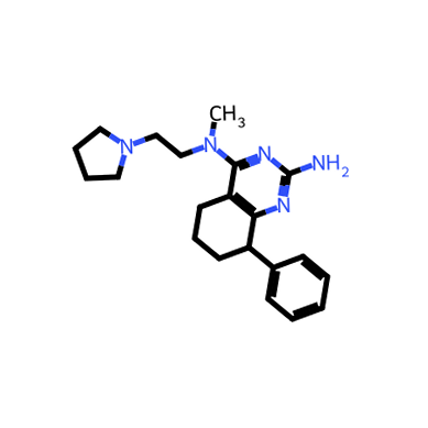 CN(CCN1CCCC1)c1nc(N)nc2c1CCCC2c1ccccc1